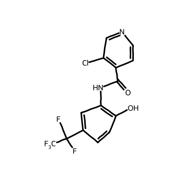 O=C(Nc1cc(C(F)(F)C(F)(F)F)ccc1O)c1ccncc1Cl